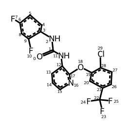 O=C(Nc1ccc(F)cc1F)Nc1cccnc1Oc1cc(C(F)(F)F)ccc1Cl